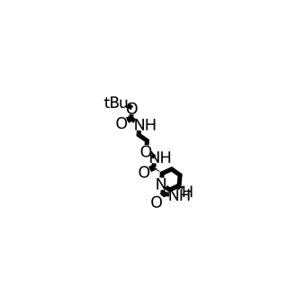 CC(C)(C)OC(=O)NCCONC(=O)[C@@H]1CC[C@H]2CN1C(=O)N2